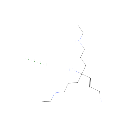 CCNCCCC(N)(/C=C/CN)CCCNCC.Cl.Cl.Cl.Cl